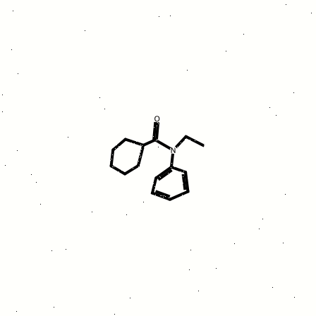 CCN(C(=O)C1CCCCC1)c1ccccc1